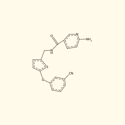 N#Cc1cccc(Oc2ccc(CNC(=O)c3ccc(N)nc3)s2)c1